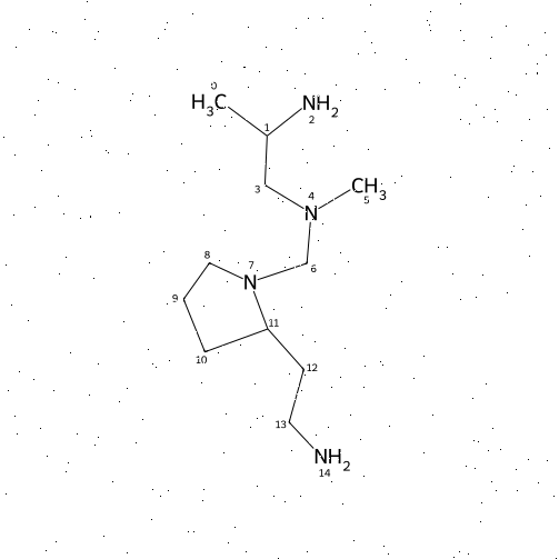 CC(N)CN(C)CN1CCCC1CCN